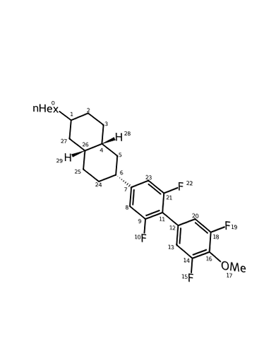 CCCCCCC1CC[C@@H]2C[C@H](c3cc(F)c(-c4cc(F)c(OC)c(F)c4)c(F)c3)CC[C@@H]2C1